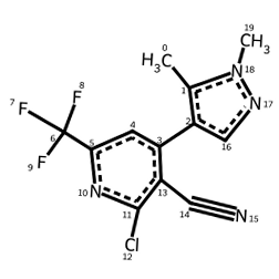 Cc1c(-c2cc(C(F)(F)F)nc(Cl)c2C#N)cnn1C